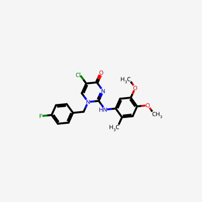 COc1cc(C)c(Nc2nc(=O)c(Cl)cn2Cc2ccc(F)cc2)cc1OC